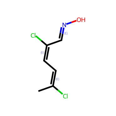 C\C(Cl)=C/C=C(Cl)\C=N\O